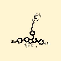 C=CC(=O)OCCCCc1ccc(-c2cc(-c3ccc(C(C)(C)C)cc3)cc3c2-c2ccc(-c4ccc(C(C)(C)C)cc4)cc2C3(C)C)cc1